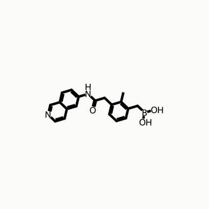 Cc1c(CB(O)O)cccc1CC(=O)Nc1ccc2cnccc2c1